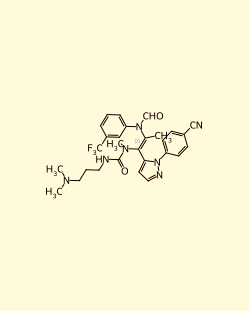 C/C(=C(\c1ccnn1-c1ccc(C#N)cc1)N(C)C(=O)NCCCN(C)C)N(C=O)c1cccc(C(F)(F)F)c1